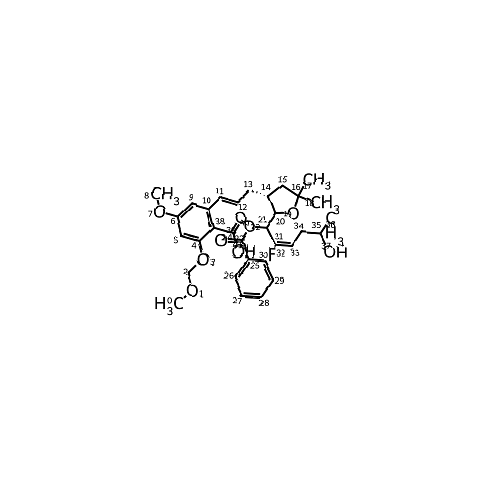 COCOc1cc(OC)cc(/C=C/C[C@@H]2CC(C)(C)OC2C(OC(=O)c2ccccc2)/C(F)=C\CC(C)O)c1C(=O)O